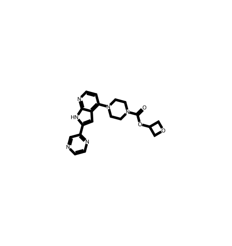 O=C(OC1COC1)N1CCN(c2ccnc3[nH]c(-c4cnccn4)cc23)CC1